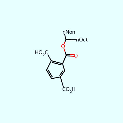 CCCCCCCCCC(CCCCCCCC)OC(=O)c1cc(C(=O)O)ccc1C(=O)O